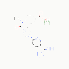 CN(C(=O)N1CCN(c2ccc(C(=N)N)cn2)CC1)[C@H]1CC[C@H](C(=O)O)CC1.Cl.Cl